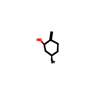 C=C1CC[C@@H](C(C)C)C[C@H]1O